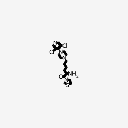 NC(CCCCN1CCN(c2c(Cl)cncc2Cl)CC1)C(=O)N1CCSC1